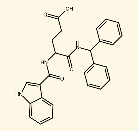 O=C(O)CCC(NC(=O)c1c[nH]c2ccccc12)C(=O)NC(c1ccccc1)c1ccccc1